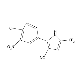 N#Cc1cc(C(F)(F)F)[nH]c1-c1ccc(Cl)c([N+](=O)[O-])c1